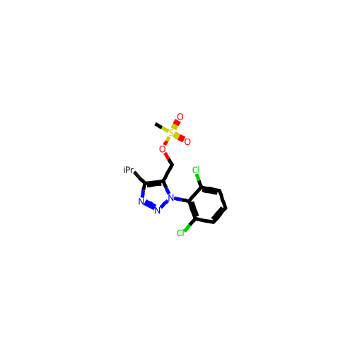 CC(C)c1nnn(-c2c(Cl)cccc2Cl)c1COS(C)(=O)=O